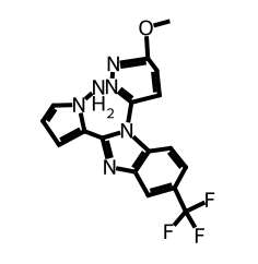 COc1ccc(-n2c(-c3cccn3N)nc3cc(C(F)(F)F)ccc32)nn1